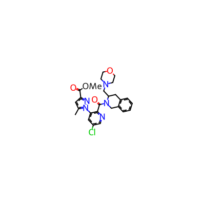 COC(=O)c1cc(C)n(-c2cc(Cl)cnc2C(=O)N2Cc3ccccc3CC2CN2CCOCC2)n1